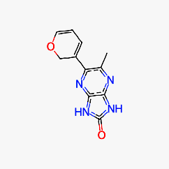 Cc1nc2[nH]c(=O)[nH]c2nc1C1=CC=COC1